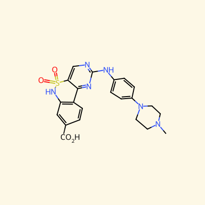 CN1CCN(c2ccc(Nc3ncc4c(n3)-c3ccc(C(=O)O)cc3NS4(=O)=O)cc2)CC1